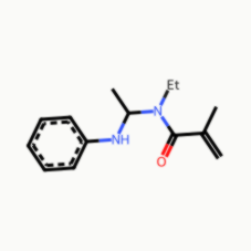 C=C(C)C(=O)N(CC)C(C)Nc1ccccc1